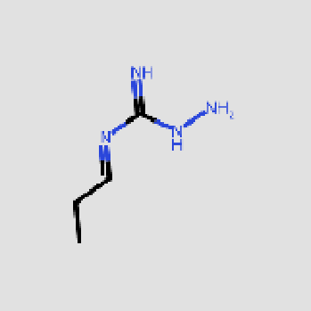 CCC=NC(=N)NN